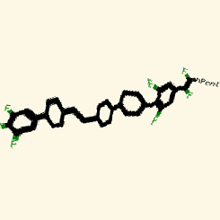 CCCCC/C(F)=C(\F)c1cc(F)c(C2CCC(C3CCC(CCC4CCC(c5cc(F)c(F)c(F)c5)CC4)CC3)CC2)c(F)c1